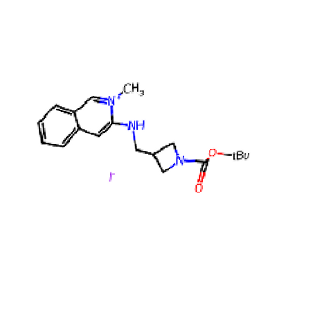 C[n+]1cc2ccccc2cc1NCC1CN(C(=O)OC(C)(C)C)C1.[I-]